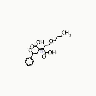 CCCCOCC/C(C(=O)O)=C(/CC(=O)c1ccccc1)C(=O)O